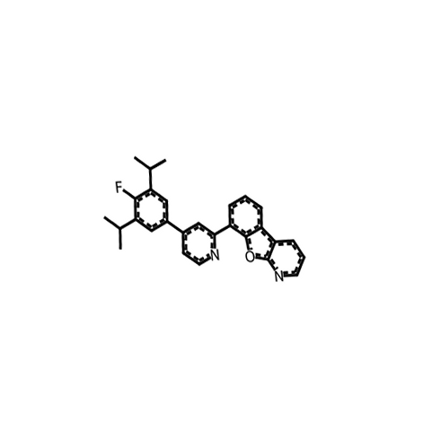 CC(C)c1cc(-c2ccnc(-c3cccc4c3oc3ncccc34)c2)cc(C(C)C)c1F